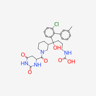 Cc1cccc(-c2c(Cl)cccc2C(O)(CCCNC(=O)O)C2CCCN(C(=O)C3CC(=O)NC(=O)N3)C2)c1